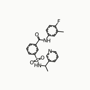 Cc1cc(NC(=O)c2cccc(S(=O)(=O)NC(C)c3cccnc3)c2)ccc1F